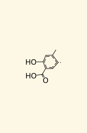 Cc1[c]cc(C(=O)O)c(O)c1